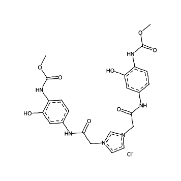 COC(=O)Nc1ccc(NC(=O)Cn2cc[n+](CC(=O)Nc3ccc(NC(=O)OC)c(O)c3)c2)cc1O.[Cl-]